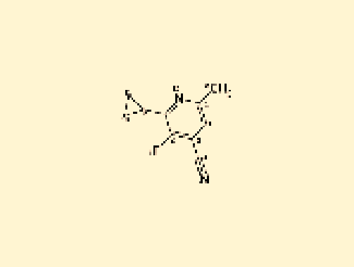 Cc1cc(C#N)c(F)c(C2CC2)n1